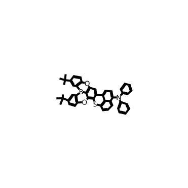 CC(C)(C)c1ccc2c(c1)B1c3cc(C(C)(C)C)ccc3Oc3c4c(cc(c31)O2)-c1ccc(N(c2ccccc2)c2ccccc2)c2cccc(c12)S4